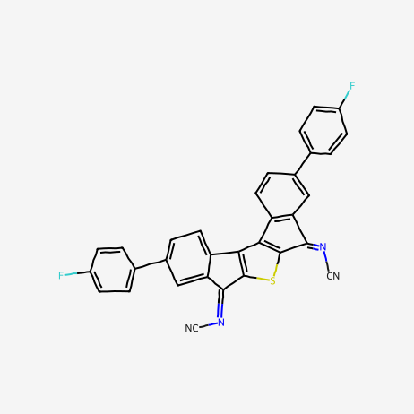 N#C/N=c1/c2cc(-c3ccc(F)cc3)ccc2c2c1sc1/c(=N/C#N)c3cc(-c4ccc(F)cc4)ccc3c12